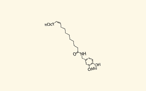 CCCCCCCC/C=C\CCCCCCCCC(=O)NCc1ccc(O)c(OC)c1